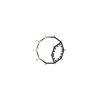 c1cc2ccc1CSSSSC2